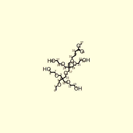 CCOCC(COCCO)(COCCO)COCC(COCCO)(COCCO)COCCCC(=O)OC